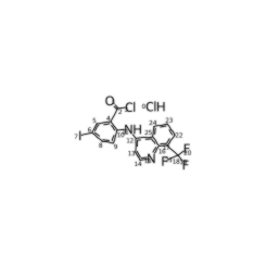 Cl.O=C(Cl)c1cc(I)ccc1Nc1ccnc2c(C(F)(F)F)cccc12